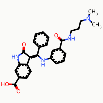 CN(C)CCCNC(=O)c1cccc(NC(=C2C(=O)Nc3cc(C(=O)O)ccc32)c2ccccc2)c1